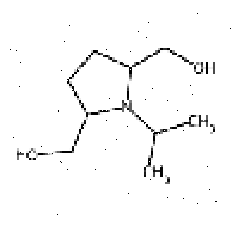 CC(C)N1C(CO)CCC1CO